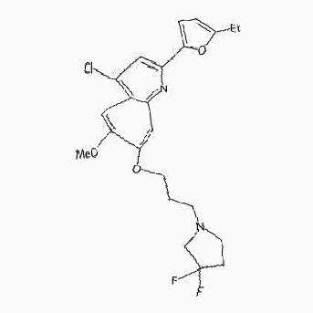 CCc1ccc(-c2cc(Cl)c3cc(OC)c(OCCCN4CCC(F)(F)C4)cc3n2)o1